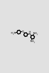 Nc1ccc(Oc2cccc(Nc3cc(N)ccc3N)c2)cc1